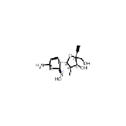 C#C[C@]1(CO)O[C@@H](n2ccc(N)n/c2=N\O)[C@H](F)[C@@H]1O